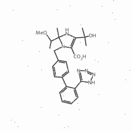 COC(C)C1(C)NC(C(C)(C)O)=C(C(=O)O)N1Cc1ccc(-c2ccccc2-c2nnn[nH]2)cc1